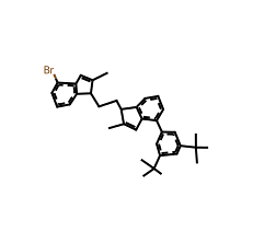 CC1=Cc2c(Br)cccc2C1CCC1C(C)=Cc2c(-c3cc(C(C)(C)C)cc(C(C)(C)C)c3)cccc21